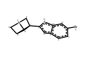 Brc1ccc2cc(C34CN5CC3C54)sc2c1